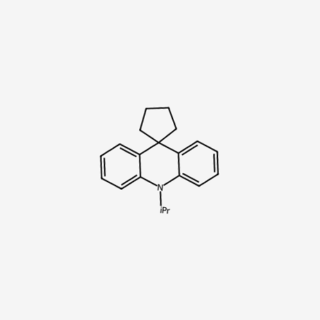 CC(C)N1c2ccccc2C2(CCCC2)c2ccccc21